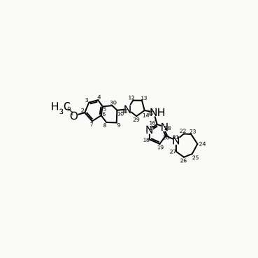 COc1ccc2c(c1)CCC(N1CCC(Nc3nccc(N4CCCCCC4)n3)C1)C2